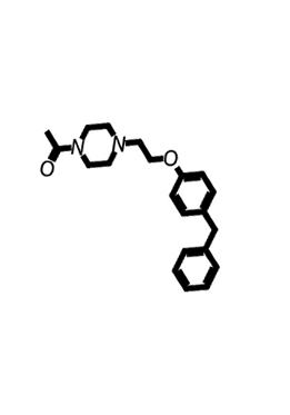 CC(=O)N1CCN(CCOc2ccc(Cc3ccccc3)cc2)CC1